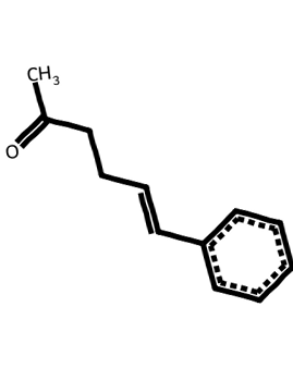 CC(=O)CCC=Cc1ccccc1